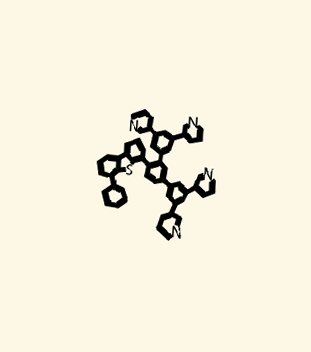 c1ccc(-c2cccc3c2sc2c(-c4ccc(-c5cc(-c6cccnc6)cc(-c6cccnc6)c5)cc4-c4cc(-c5cccnc5)cc(-c5cccnc5)c4)cccc23)cc1